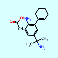 CC(=O)O.CC(C)(N)c1ccc(N)c(C2=CCCCC2)c1